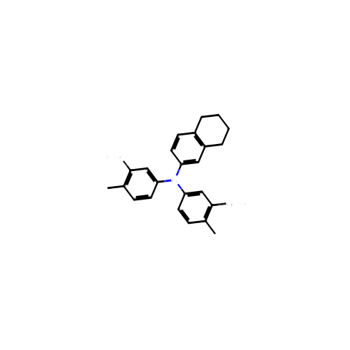 CCCCCCc1cc(N(c2ccc(C)c(CCCCCC)c2)c2ccc3c(c2)CCCC3)ccc1C